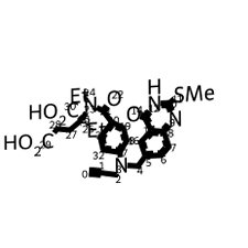 C#CCN(Cc1ccc2nc(SC)[nH]c(=O)c2c1)c1ccc(C(=O)N(CC)[C@@](CC)(CCC(=O)O)C(=O)O)cc1